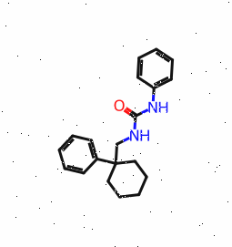 O=C(NCC1(c2ccccc2)CCCCC1)Nc1ccccc1